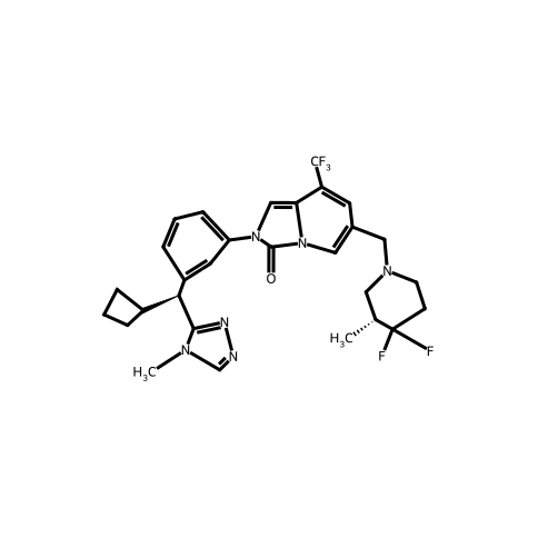 C[C@@H]1CN(Cc2cc(C(F)(F)F)c3cn(-c4cccc([C@@H](c5nncn5C)C5CCC5)c4)c(=O)n3c2)CCC1(F)F